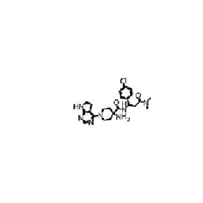 CN(C)C(=O)CC(NC(=O)C1(N)CCN(c2ncnc3[nH]ccc23)CC1)c1ccc(Cl)cc1